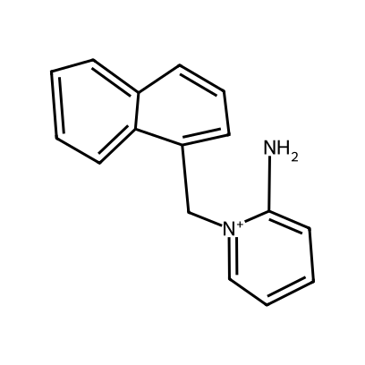 Nc1cccc[n+]1Cc1cccc2ccccc12